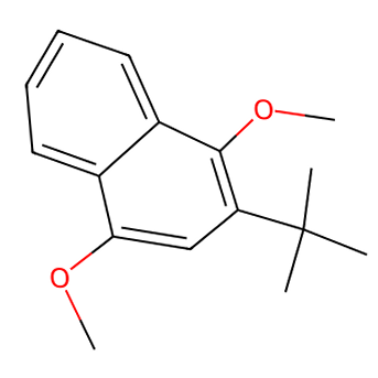 COc1cc(C(C)(C)C)c(OC)c2ccccc12